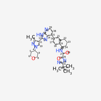 Cc1nn(C2CCOCC2)cc1-c1nc2c(-c3ccc4c(c3)CCC[C@@H]4NC(=O)c3nc(C(C)(C)C)no3)ccnc2[nH]1